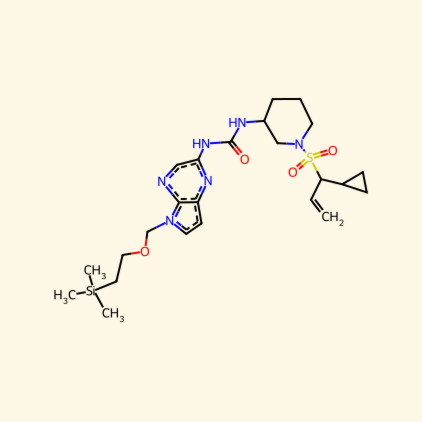 C=CC(C1CC1)S(=O)(=O)N1CCCC(NC(=O)Nc2cnc3c(ccn3COCC[Si](C)(C)C)n2)C1